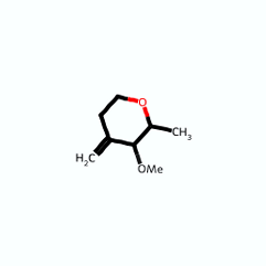 C=C1CCOC(C)C1OC